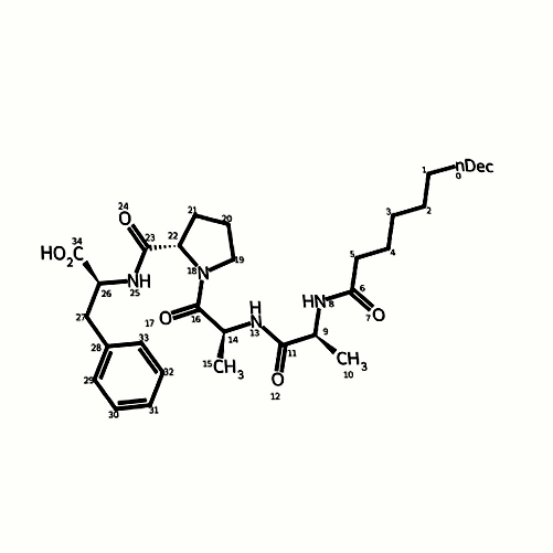 CCCCCCCCCCCCCCCC(=O)N[C@@H](C)C(=O)N[C@@H](C)C(=O)N1CCC[C@H]1C(=O)N[C@@H](Cc1ccccc1)C(=O)O